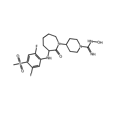 CS(=O)(=O)c1cc(F)c(NC2CCCCN(C3CCN(C(=N)NO)CC3)C2=O)cc1F